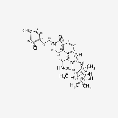 C[C@@H]1C(/N=C(/Nc2ccc3c(c2)CCN(CCc2ccc(Cl)cc2Cl)C3=O)N2CCN[C@@H](C)C2)C[C@H]2C[C@@H]1C2(C)C